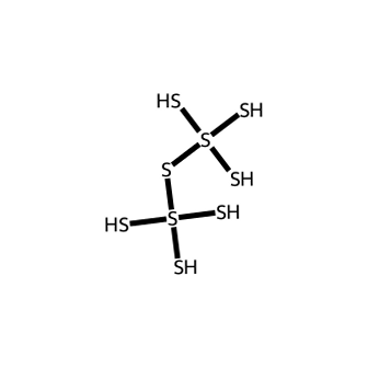 SS(S)(S)SS(S)(S)S